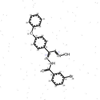 O=C(N/N=C(\C=N\O)c1ccc(Oc2ccccc2)cc1)c1cccc(Br)c1